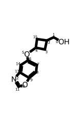 OCC1CC(Oc2ccc3ocnc3c2)C1